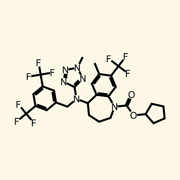 Cc1cc2c(cc1C(F)(F)F)N(C(=O)OC1CCCC1)CCCC2N(Cc1cc(C(F)(F)F)cc(C(F)(F)F)c1)c1nnn(C)n1